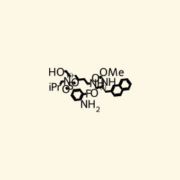 COC(=O)N[C@@H](Cc1ccc2ccccc2c1)C(=O)NCCCC[C@@H](CO)N(CC(C)C)S(=O)(=O)c1ccc(N)c(F)c1